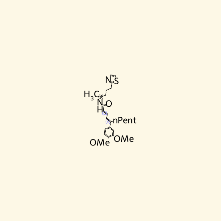 CCCCC/C(=C\C=C\C(=O)N[C@H](C)CCCc1nccs1)c1ccc(OC)c(OC)c1